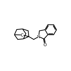 O=C1c2ccccc2CN1CC12CC3CC(CC1C3)C2